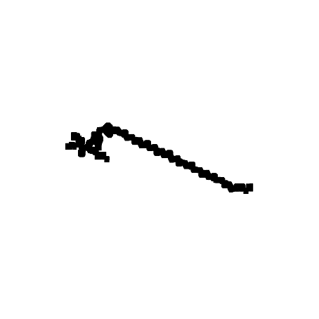 CCCN(OCC)C(=O)C1=Cc2sc(CC3CN(CCOCCOCCOCCOCCOCCOCCOCCOCCOCCOCCC(=O)O)C3)cc2N=C(N)C1